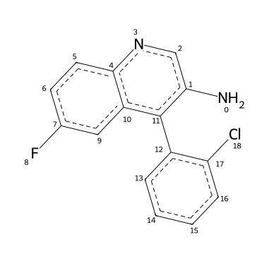 Nc1cnc2ccc(F)cc2c1-c1ccccc1Cl